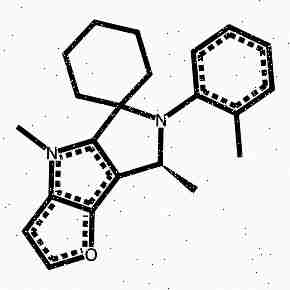 Cc1ccccc1N1[C@@H](C)c2c(n(C)c3ccoc23)C12CCCCC2